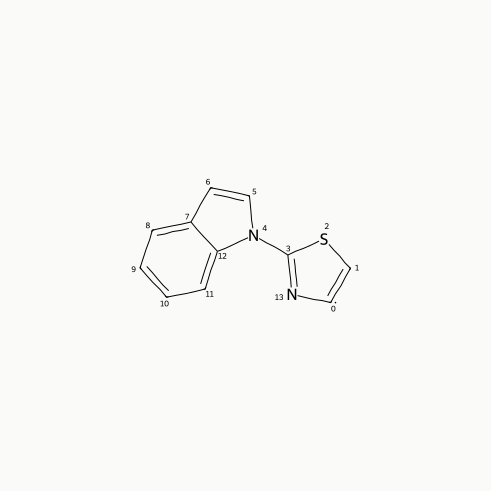 [c]1csc(-n2ccc3ccccc32)n1